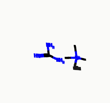 CCCC[N+](C)(C)C.N=C(N)N